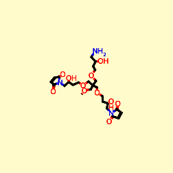 COCC(COCCC(O)CN)(COCCC(O)CN1C(=O)C=CC1=O)COCCC(O)CN1C(=O)C=CC1=O